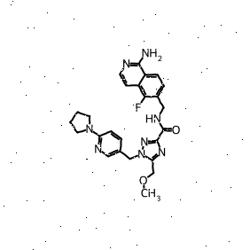 COCc1nc(C(=O)NCc2ccc3c(N)nccc3c2F)nn1Cc1ccc(N2CCCC2)nc1